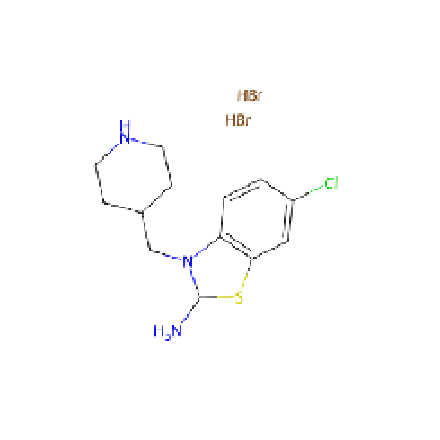 Br.Br.NC1Sc2cc(Cl)ccc2N1CC1CCNCC1